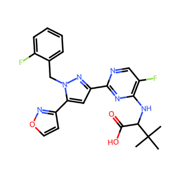 CC(C)(C)C(Nc1nc(-c2cc(-c3ccon3)n(Cc3ccccc3F)n2)ncc1F)C(=O)O